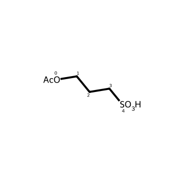 [CH2]C(=O)OCCCS(=O)(=O)O